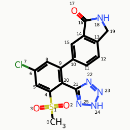 CS(=O)(=O)c1cc(Cl)cc(-c2ccc3c(c2)C(=O)NC3)c1-c1nn[nH]n1